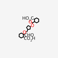 O=CC1(OCC2CCC(OC(=O)C3CCCCC3C(=O)O)C2)CCCCC1C(=O)O